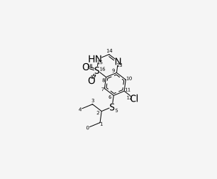 CCC(CC)Sc1cc2c(cc1Cl)N=CNS2(=O)=O